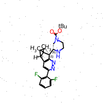 CC(C)(C)OC(=O)N1CCN[C@H]([C@@]23CC[C@@H](c4cc(-c5c(F)cccc5F)nnc42)C3(C)C)C1